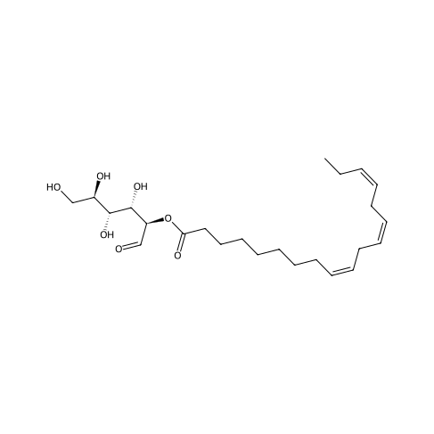 CC/C=C\C/C=C\C/C=C\CCCCCCCC(=O)O[C@@H](C=O)[C@@H](O)[C@H](O)[C@H](O)CO